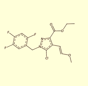 CCOC(=O)c1nn(Cc2cc(F)c(F)cc2F)c(Cl)c1C=COC